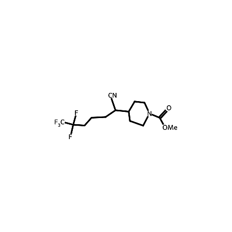 COC(=O)N1CCC(C(C#N)CCCC(F)(F)C(F)(F)F)CC1